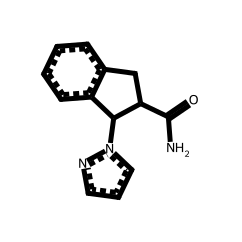 NC(=O)C1Cc2ccccc2C1n1cccn1